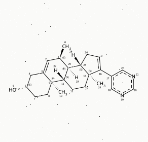 C[C@@H]1C=C2C[C@@H](O)CC[C@]2(C)[C@H]2CC[C@]3(C)C(c4cncnc4)=CC[C@H]3[C@H]12